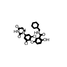 O=C(NCC1CCCCC1)c1cc(Oc2c(Cl)cc(-n3ncc(=O)[nH]c3=O)cc2Cl)ccc1O